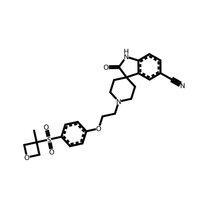 CC1(S(=O)(=O)c2ccc(OCCN3CCC4(CC3)C(=O)Nc3ccc(C#N)cc34)cc2)COC1